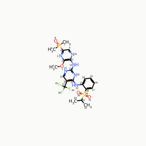 COc1nc(P(C)(C)=O)cnc1Nc1ncc(C(F)(F)F)c(Nc2ccccc2S(=O)(=O)C(C)C)n1